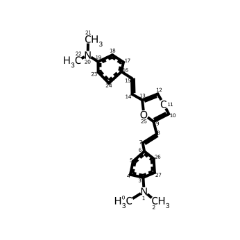 CN(C)c1ccc(C=CC2=CCC=C(C=Cc3ccc(N(C)C)cc3)O2)cc1